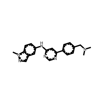 CN(C)Cc1ccc(-c2cc(Nc3ccc4c(cnn4C)c3)ncn2)cc1